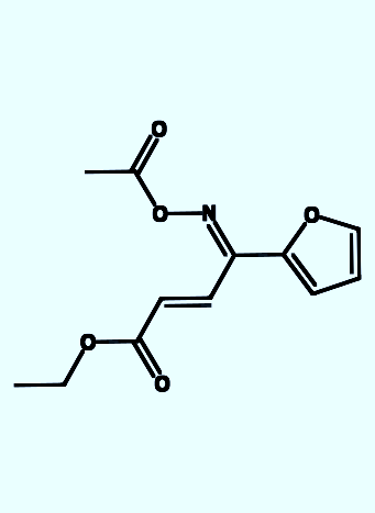 CCOC(=O)/C=C/C(=N\OC(C)=O)c1ccco1